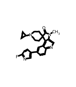 CN1C(=O)C2(CCN(C3CC3)CC2)c2c1cnc1ccc(-c3ccc(F)nc3)cc21